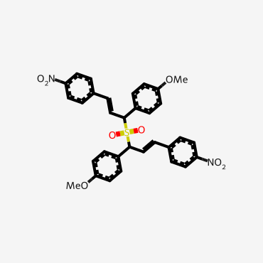 COc1ccc(C(/C=C/c2ccc([N+](=O)[O-])cc2)S(=O)(=O)C(/C=C/c2ccc([N+](=O)[O-])cc2)c2ccc(OC)cc2)cc1